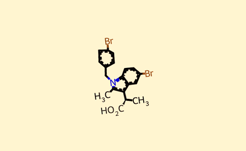 Cc1c([C@@H](C)C(=O)O)c2cc(Br)ccc2n1Cc1ccc(Br)cc1